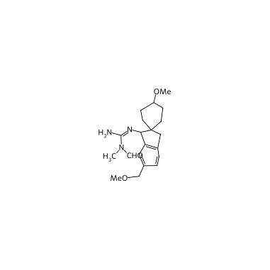 COCc1ccc2c(c1)C(/N=C(/N)N(C)C=O)C1(CCC(OC)CC1)C2